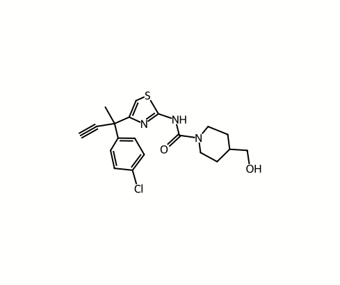 C#CC(C)(c1ccc(Cl)cc1)c1csc(NC(=O)N2CCC(CO)CC2)n1